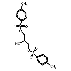 Cc1ccc(S(=O)(=O)OCC(O)COS(=O)(=O)c2ccc(C)cc2)cc1